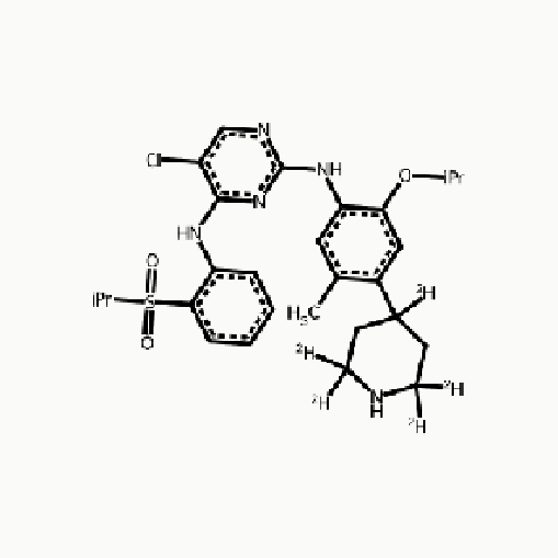 [2H]C1([2H])CC([2H])(c2cc(OC(C)C)c(Nc3ncc(Cl)c(Nc4ccccc4S(=O)(=O)C(C)C)n3)cc2C)CC([2H])([2H])N1